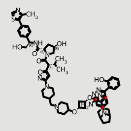 Cc1ncsc1-c1ccc([C@H](CO)NC(=O)[C@@H]2C[C@@H](O)CN2C(=O)[C@@H](c2cc(N3CCC(CN4CCC(O[C@H]5C[C@H](Oc6cc(N7C8CCC7CN(c7cc(-c9ccccc9O)nnc7N)C8)ccn6)C5)CC4)CC3)no2)C(C)C)cc1